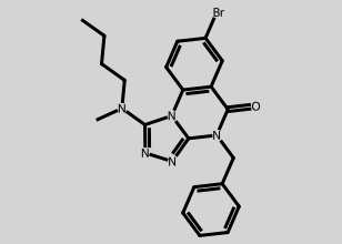 CCCCN(C)c1nnc2n(Cc3ccccc3)c(=O)c3cc(Br)ccc3n12